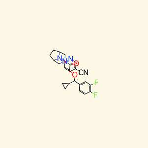 N#Cc1ccc(N2C3CCC2CN(C(=O)COC(c2ccc(F)c(F)c2)C2CC2)C3)nc1